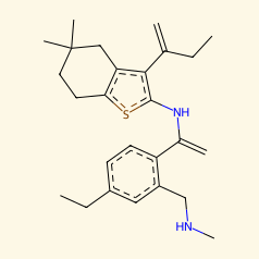 C=C(Nc1sc2c(c1C(=C)CC)CC(C)(C)CC2)c1ccc(CC)cc1CNC